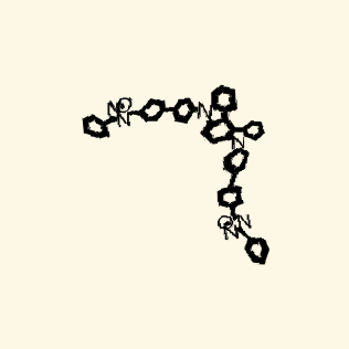 c1ccc(-c2noc(-c3ccc(-c4ccc(-n5c6ccccc6c6c7c8ccccc8n(-c8ccc(-c9ccc(-c%10nc(-c%11ccccc%11)no%10)cc9)cc8)c7ccc65)cc4)cc3)n2)cc1